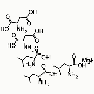 CC(C)C[C@H](N)C(=O)O.CC(C)C[C@H](N)C(=O)O.CC(C)C[C@H](N)C(=O)O.N[C@@H](CC(=O)O)C(=O)O.N[C@@H](CC(=O)O)C(=O)O.[Fe].[MgH2]